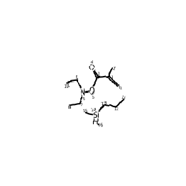 C=C(C)C(=O)ON(CC)CC.CCC[SiH](C)C